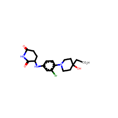 O=C(O)CC1(O)CCN(c2ccc(NC3CCC(=O)NC3=O)cc2Br)CC1